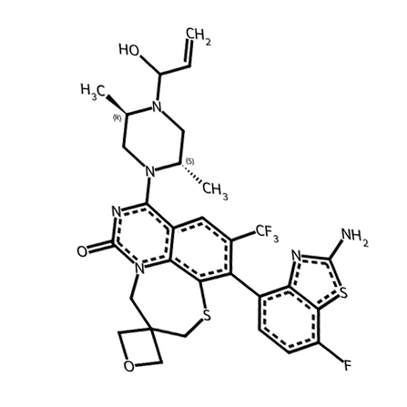 C=CC(O)N1C[C@H](C)N(c2nc(=O)n3c4c(c(-c5ccc(F)c6sc(N)nc56)c(C(F)(F)F)cc24)SCC2(COC2)C3)C[C@H]1C